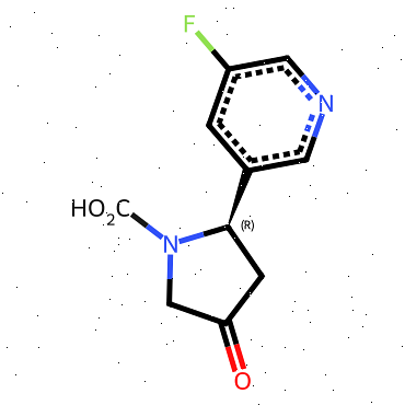 O=C1C[C@H](c2cncc(F)c2)N(C(=O)O)C1